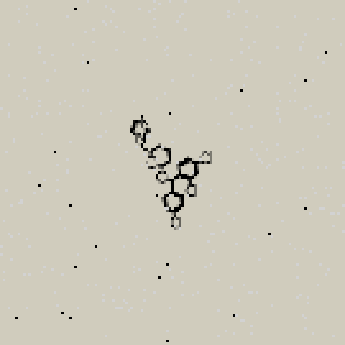 Clc1ccc(C(O[C@H]2CCC[C@H](Cn3ccnc3)O2)c2ccc(Cl)cc2Cl)cc1